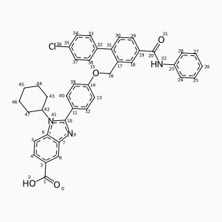 O=C(O)c1ccc2c(c1)nc(-c1ccc(OCc3cc(C(=O)Nc4ccccc4)ccc3-c3ccc(Cl)cc3)cc1)n2C1CCCCC1